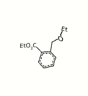 CCOCc1ccccc1C(=O)OCC